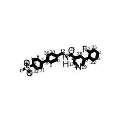 CS(=O)(=O)c1ccc(-c2ccc(CNC(=O)c3cncc(-c4ccccc4F)c3)cc2)cc1